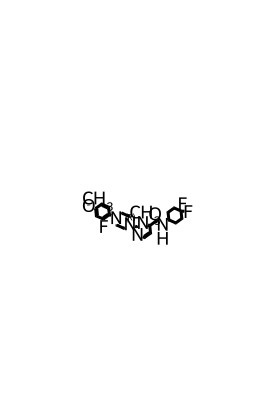 COc1ccc(N2CCN(c3nccc(C(=O)NC4CCC(F)(F)CC4)n3)[C@H](C)C2)c(F)c1